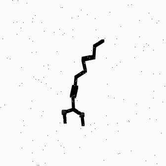 CC/C=C/CCC#CC(OC)OC